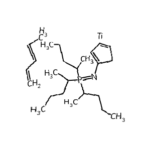 C=CC=CC.CCCC(C)P(=NC1=CC=CC1)(C(C)CCC)C(C)CCC.[Ti]